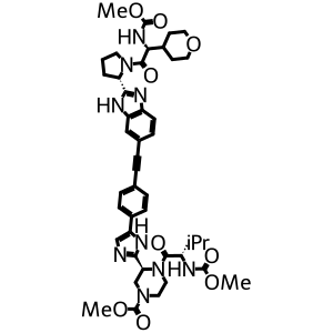 COC(=O)N[C@H](C(=O)N1CCN(C(=O)OC)C[C@H]1c1ncc(-c2ccc(C#Cc3ccc4nc([C@@H]5CCCN5C(=O)[C@@H](NC(=O)OC)C5CCOCC5)[nH]c4c3)cc2)[nH]1)C(C)C